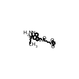 CCCCc1nc2c(N)nc3ccccc3c2n1Cc1ccc(CNC(=O)CCCCCN2C(=O)C=CC2=O)cc1